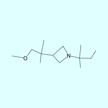 CCC(C)(C)N1CC(C(C)(C)COC)C1